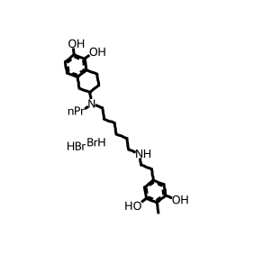 Br.Br.CCCN(CCCCCCNCCc1cc(O)c(C)c(O)c1)C1CCc2c(ccc(O)c2O)C1